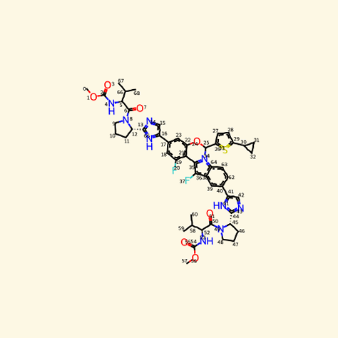 COC(=O)N[C@H](C(=O)N1CCC[C@H]1c1ncc(-c2cc(F)c3c(c2)OC(c2ccc(C4CC4)s2)n2c-3c(F)c3cc(-c4cnc([C@@H]5CCCN5C(=O)[C@@H](NC(=O)OC)C(C)C)[nH]4)ccc32)[nH]1)C(C)C